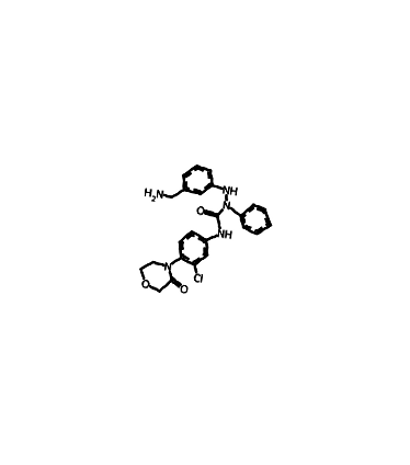 NCc1cccc(NN(C(=O)Nc2ccc(N3CCOCC3=O)c(Cl)c2)c2ccccc2)c1